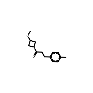 COC1CN(C(=O)CCc2ccc(C)cc2)C1